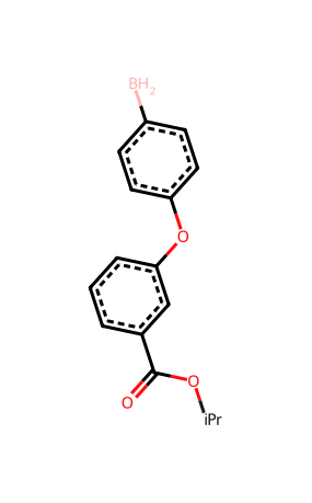 Bc1ccc(Oc2cccc(C(=O)OC(C)C)c2)cc1